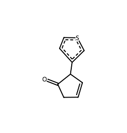 O=C1CC=CC1c1ccsc1